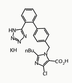 CCCCc1nc(Cl)c(C(=O)O)n1Cc1ccc(-c2ccccc2-c2nnn[nH]2)cc1.[KH]